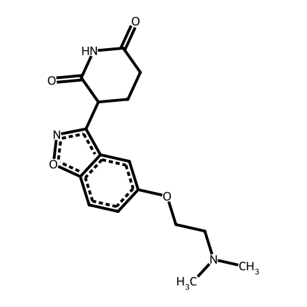 CN(C)CCOc1ccc2onc(C3CCC(=O)NC3=O)c2c1